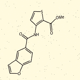 COC(=O)c1sccc1NC(=O)c1ccc2occc2c1